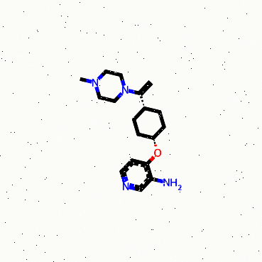 C=C([C@H]1CC[C@@H](Oc2ccncc2N)CC1)N1CCN(C)CC1